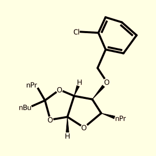 CCCCC1(CCC)O[C@H]2O[C@H](CCC)[C@H](OCc3ccccc3Cl)[C@H]2O1